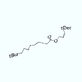 CCCCCCCCCC/C=C\COC(=O)CCCCCCCC(C)(C)C